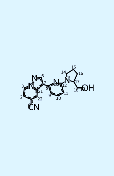 N#Cc1ccn2ncc(-c3cccc(N4CCCC4CO)n3)c2c1